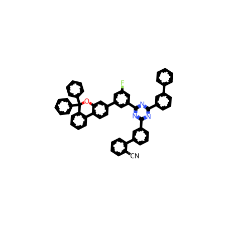 N#Cc1ccccc1-c1cccc(-c2nc(-c3cccc(-c4ccccc4)c3)nc(-c3cc(F)cc(-c4ccc5c(c4)OC(c4ccccc4)(c4ccccc4)c4ccccc4-5)c3)n2)c1